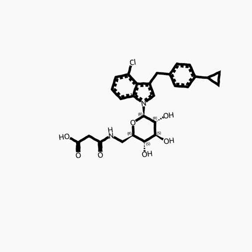 O=C(O)CC(=O)NC[C@H]1O[C@@H](n2cc(Cc3ccc(C4CC4)cc3)c3c(Cl)cccc32)[C@H](O)[C@@H](O)[C@@H]1O